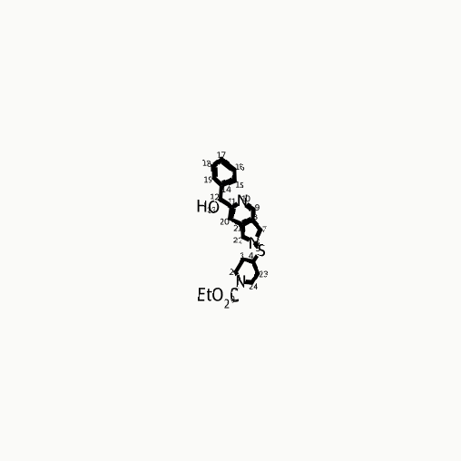 CCOC(=O)N1CCC(SN2Cc3cnc(C(O)c4ccccc4)cc3C2)CC1